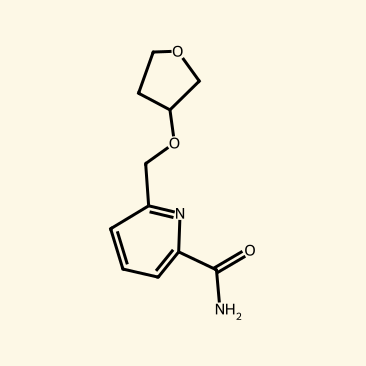 NC(=O)c1cccc(COC2CCOC2)n1